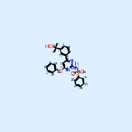 CC(C)(O)c1cccc(-c2cc(Oc3ccccc3)nc(NS(=O)(=O)c3ccccc3)n2)c1